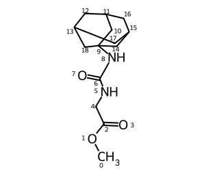 COC(=O)CNC(=O)NC12CC3CC(CC(C3)C1)C2